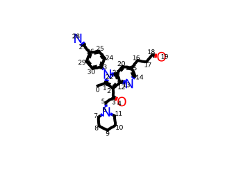 Cc1c(C(=O)CN2CCCCC2)c2ncc(CCC=O)cc2n1-c1ccc(C#N)cc1